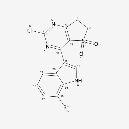 O=S1(=O)CCc2nc(Cl)nc(-c3c[nH]c4c(Br)cccc34)c21